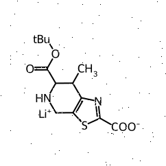 CC1c2nc(C(=O)[O-])sc2CNC1C(=O)OC(C)(C)C.[Li+]